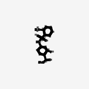 COC(=O)c1ccc(NS(=O)(=O)c2cc[c]cc2C)cc1F